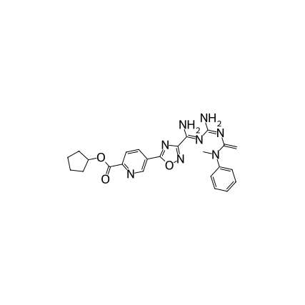 C=C(/N=C(N)\N=C(/N)c1noc(-c2ccc(C(=O)OC3CCCC3)nc2)n1)N(C)c1ccccc1